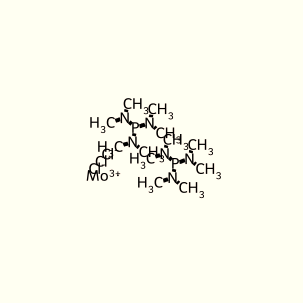 CN(C)P(N(C)C)N(C)C.CN(C)P(N(C)C)N(C)C.[Cl-].[Cl-].[Cl-].[Mo+3]